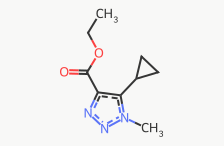 CCOC(=O)c1nnn(C)c1C1CC1